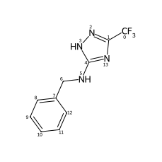 FC(F)(F)c1n[nH]c(NCc2ccccc2)n1